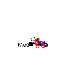 COc1ccc(CCOC(=O)[C@H](CC(=O)OC2CCCCC2)NC(=O)OC(C)(C)C)cc1